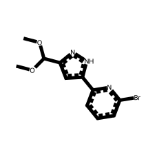 COC(OC)c1cc(-c2cccc(Br)n2)[nH]n1